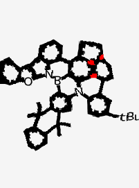 CC(C)(C)c1ccc(N2c3cc4c(cc3B3c5c2cc2ccccc2c5-c2cccc5c6c7ccccc7oc6n3c25)C(C)(C)c2ccccc2C4(C)C)c(-c2ccccc2)c1